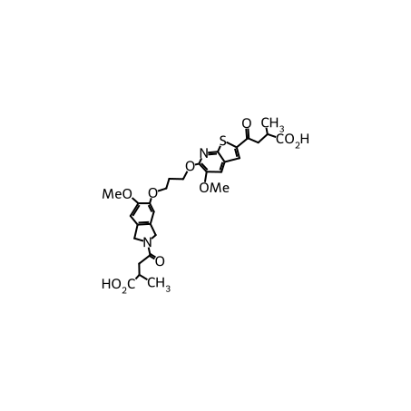 COc1cc2c(cc1OCCCOc1nc3sc(C(=O)CC(C)C(=O)O)cc3cc1OC)CN(C(=O)CC(C)C(=O)O)C2